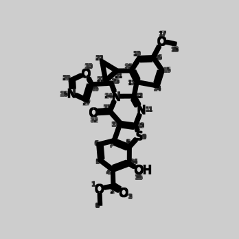 COC(=O)c1ccc2c(sc3nc(-c4ccc(OC)cc4C4CC4)n(Cc4cnco4)c(=O)c32)c1O